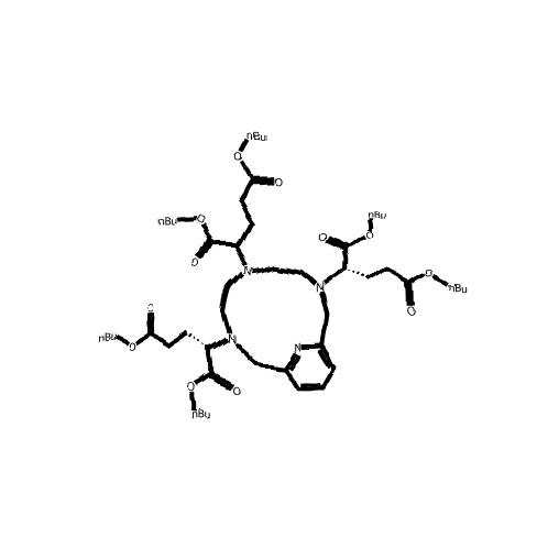 CCCCOC(=O)CCC(C(=O)OCCCC)N1CCN([C@@H](CCC(=O)OCCCC)C(=O)OCCCC)Cc2cccc(n2)CN([C@@H](CCC(=O)OCCCC)C(=O)OCCCC)CC1